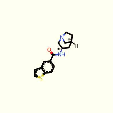 O=C(N[C@@H]1C[C@H]2CCN(C2)C1)c1ccc2sccc2c1